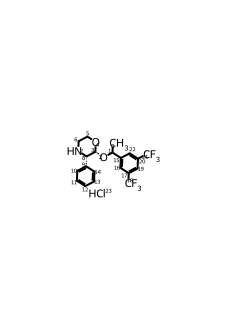 CC(O[C@H]1OCCN[C@H]1c1ccccc1)c1cc(C(F)(F)F)cc(C(F)(F)F)c1.Cl